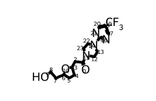 O=C(CC1CCC(CCO)O1)N1CCN(c2ncc(C(F)(F)F)cn2)CC1